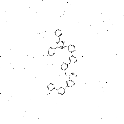 NC(Cc1cccc(-c2cccc(-c3cccc(C4=NC(c5ccccc5)=NC(c5ccccc5)N4)c3)c2)c1)c1cccc(-c2cccc(-c3ccccc3)c2)c1